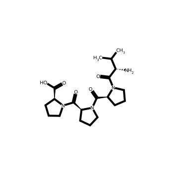 CC(C)[C@H](N)C(=O)N1CCC[C@H]1C(=O)N1CCC[C@H]1C(=O)N1CCC[C@H]1C(=O)O